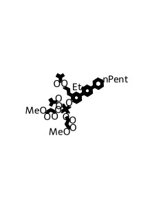 C=C(C)C(=O)OCCCc1cc(-c2ccc(C3CCC(CCCCC)CC3)cc2CC)ccc1OCC(COC(=O)CC(=O)OC)(COC(=O)CC(=O)OC)COC(=O)C(=C)C